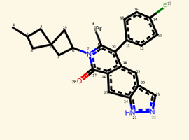 CC1CC2(C1)CC(n1c(C(C)C)c(-c3ccc(F)cc3)c3cc4cn[nH]c4cc3c1=O)C2